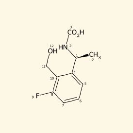 C[C@H](NC(=O)O)c1cccc(F)c1CO